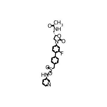 CC(=O)NC[C@H]1CN(c2ccc(-c3ccc(CS(=O)ONc4cccnc4)cc3)c(F)c2)C(=O)O1